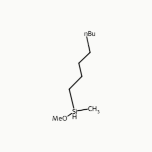 CCCCCCCC[SiH](C)OC